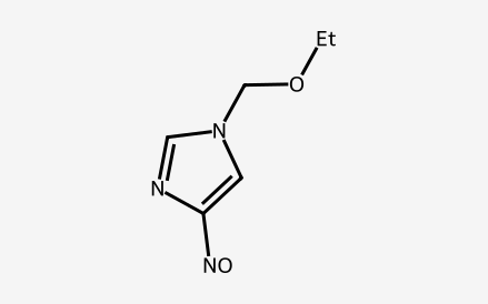 CCOCn1cnc(N=O)c1